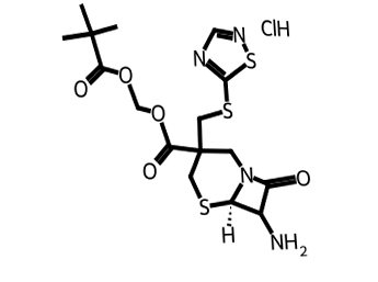 CC(C)(C)C(=O)OCOC(=O)C1(CSc2ncns2)CS[C@@H]2C(N)C(=O)N2C1.Cl